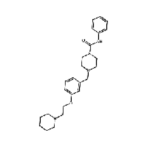 O=C(Nc1ccccc1)N1CCN(Cc2cccc(OCCN3CCCCC3)c2)CC1